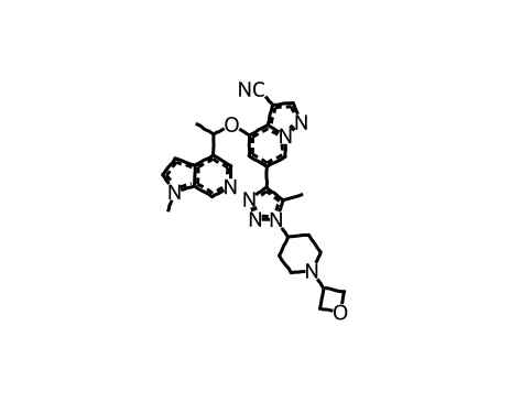 Cc1c(-c2cc(OC(C)c3cncc4c3ccn4C)c3c(C#N)cnn3c2)nnn1C1CCN(C2COC2)CC1